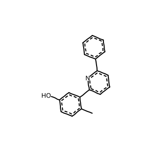 Cc1ccc(O)cc1-c1cccc(-c2ccccc2)n1